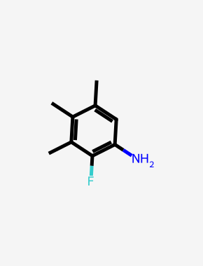 Cc1cc(N)c(F)c(C)c1C